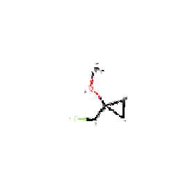 CC(C)OC1(CF)CC1